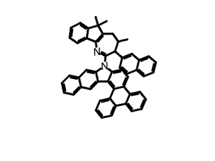 CC1CC2=C(N=C(n3c4cc5ccccc5cc4c4c5c6ccccc6c6ccccc6c5ccc43)C1c1ccc3ccccc3c1)c1ccccc1C2(C)C